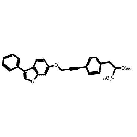 COC(Cc1ccc(C#CCOc2ccc3c(-c4ccccc4)coc3c2)cc1)C(=O)O